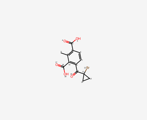 Cc1c(C(=O)O)ccc(C(=O)C2(Br)CC2)c1C(=O)O